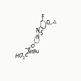 C[C@@H](COC1CCN(c2nc3cc(F)c(OCC4CC4)cc3s2)CC1)N(C(=O)O)C(C)(C)C